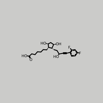 O=C(O)CCCCCC[C@@H]1[C@@H](CCC(O)C#Cc2ccc(F)cc2F)[C@H](O)C[C@@H]1O